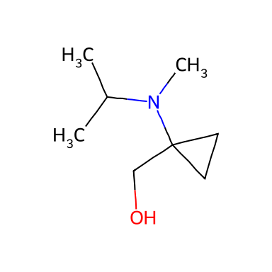 CC(C)N(C)C1(CO)CC1